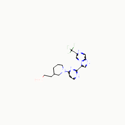 OCCC1CCCN(c2ccnc(-c3cnc4cnc(C(F)(F)F)cn34)n2)C1